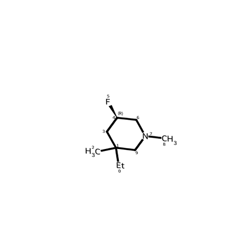 CCC1(C)C[C@@H](F)CN(C)C1